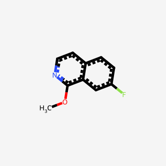 COc1nccc2ccc(F)cc12